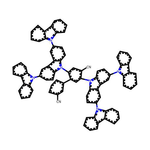 N#Cc1cccc(-c2cc(-n3c4ccc(-n5c6ccccc6c6ccccc65)cc4c4cc(-n5c6ccccc6c6ccccc65)ccc43)c(C#N)cc2-n2c3ccc(-n4c5ccccc5c5ccccc54)cc3c3cc(-n4c5ccccc5c5ccccc54)ccc32)c1